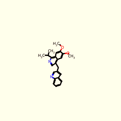 COc1cc2c(Cc3cnc4ccccc4c3)cnc(C(C)C)c2cc1OC